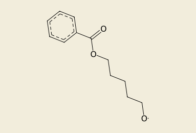 [O]CCCCCOC(=O)c1ccccc1